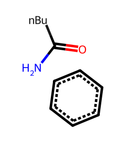 CCCCC(N)=O.c1ccccc1